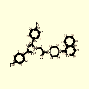 O=C(Cn1nc(-c2ccc(F)cc2)nc1-c1ccc(F)cc1)N1CCN(c2nccc3ccccc23)CC1